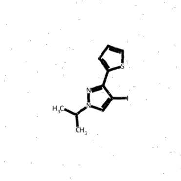 CC(C)n1cc(I)c(-c2cccs2)n1